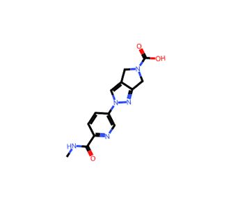 CNC(=O)c1ccc(-n2cc3c(n2)CN(C(=O)O)C3)cn1